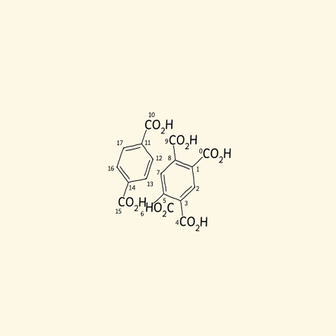 O=C(O)c1cc(C(=O)O)c(C(=O)O)cc1C(=O)O.O=C(O)c1ccc(C(=O)O)cc1